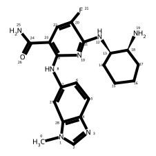 Cn1cnc2ccc(Nc3nc(N[C@@H]4CCCC[C@@H]4N)c(F)cc3C(N)=O)cc21